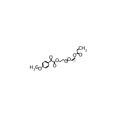 C=CC(=O)O/C=C\OOCCOC(=O)C(=O)c1ccc(OC)cc1